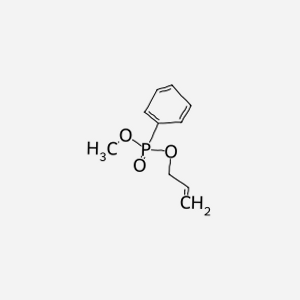 C=CCOP(=O)(OC)c1ccccc1